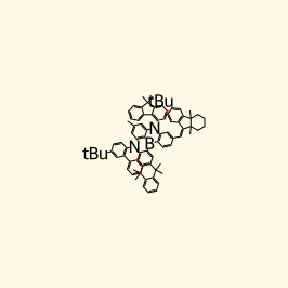 Cc1cc2c3c(c1)N(c1cccc4c1-c1ccccc1C4(C)C)c1cc(/C=C4\c5ccc(C(C)(C)C)cc5C5(C)CCCCC45C)ccc1B3c1cc3c(cc1N2c1ccc(C(C)(C)C)cc1-c1ccccc1)C(C)(C)c1ccccc1C3(C)C